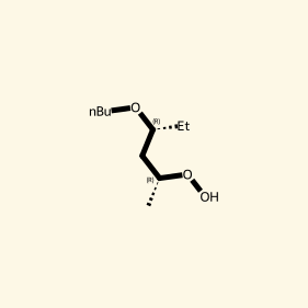 CCCCO[C@H](CC)C[C@@H](C)OO